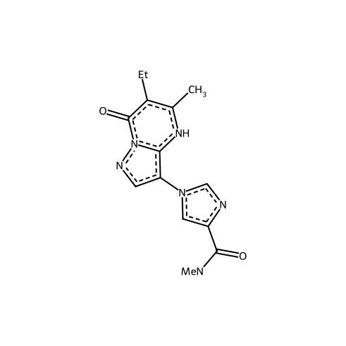 CCc1c(C)[nH]c2c(-n3cnc(C(=O)NC)c3)cnn2c1=O